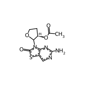 CC(=O)O[C@@H]1CCOC1n1c(=O)sc2cnc(N)nc21